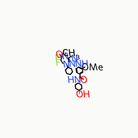 COc1cc(C(=O)N[C@H]2CC[C@H](O)CC2)ccc1Nc1ncc2c(n1)N(C1CCCCC1)CC(F)(F)C(=O)N2C